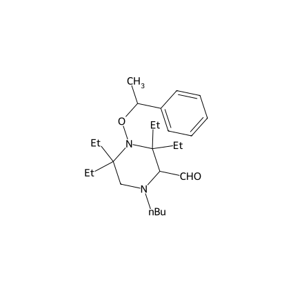 CCCCN1CC(CC)(CC)N(OC(C)c2ccccc2)C(CC)(CC)C1C=O